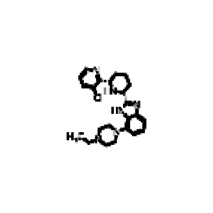 CCN1CCN(c2cccc3nc([C@H]4CCC[C@@H](c5ncccc5Cl)N4)[nH]c23)CC1